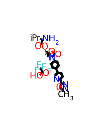 Cc1nnc(-c2ccc(-c3ccc(N4C[C@H](COC(=O)C(N)C(C)C)OC4=O)cc3F)cn2)o1.O=C(O)C(F)(F)F